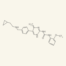 C=C1N=C(NC(=O)Nc2ccccc2OC(F)(F)F)NC=C1c1ccc(CNCCC2CC2)cc1